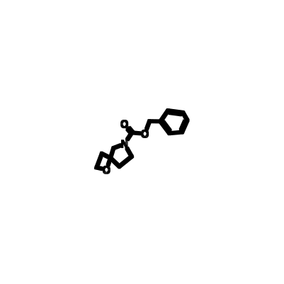 O=C(OCc1ccccc1)N1CCC2(CCO2)C1